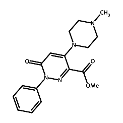 COC(=O)c1nn(-c2ccccc2)c(=O)cc1N1CCN(C)CC1